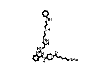 CNCCCCCC(=O)N1CCC(Nc2nc(NCc3cn(CCCNCCCNC4CCCCC4)nn3)nc3ccccc23)CC1